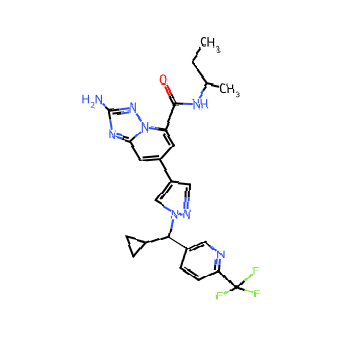 CCC(C)NC(=O)c1cc(-c2cnn(C(c3ccc(C(F)(F)F)nc3)C3CC3)c2)cc2nc(N)nn12